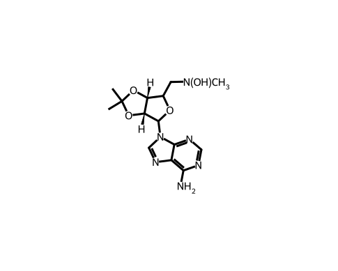 CN(O)CC1OC(n2cnc3c(N)ncnc32)[C@@H]2OC(C)(C)O[C@H]12